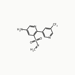 C=NS(=O)(=O)c1cc(N)cnc1-c1cncc(C(F)(F)F)c1